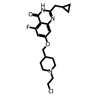 O=c1[nH]c(CC2CC2)nc2cc(OCC3CCN(CCCl)CC3)cc(F)c12